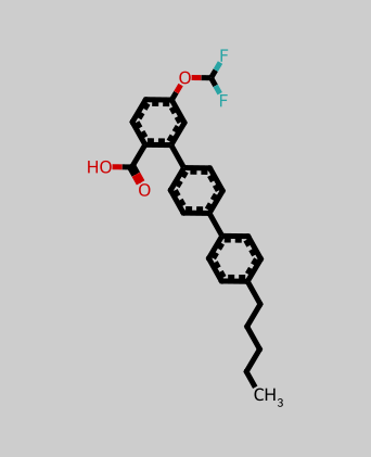 CCCCCc1ccc(-c2ccc(-c3cc(OC(F)F)ccc3C(=O)O)cc2)cc1